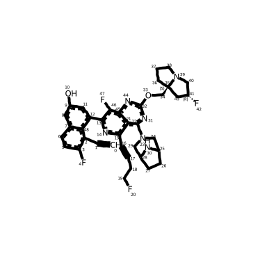 C#Cc1c(F)ccc2cc(O)cc(-c3nc(C#CCCF)c4c(N5CC6CCC(C5)N6)nc(OC[C@@]56CCCN5C[C@H](F)C6)nc4c3F)c12